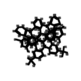 Cc1cc(C)c(B2c3cc(C(C)(C)C)ccc3N3c4c2cc(-c2c(-n5c6c(c7ccccc75)C=CCC6)cccc2-n2c5ccccc5c5ccccc52)cc4B(c2c(C)cc(C)cc2C)C2C=C(C(C)(C)C)C=CC23)c(C)c1